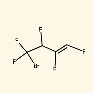 FC=C(F)C(F)C(F)(F)Br